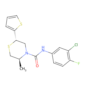 C[C@H]1CS[C@H](c2cccs2)CN1C(=O)Nc1ccc(F)c(Cl)c1